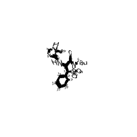 CCCCN1C(=O)C(Nc2nc[nH]n2)=C(c2ccccc2)S1(=O)=O